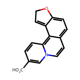 O=C(O)C1=CN2C=Cc3ccc4c(c3=C2C=C1)=CCO4